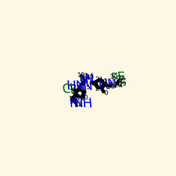 Cc1cc(-c2nc(Nc3ccc4[nH]ncc4c3Cl)n(C)n2)ccc1CNCC(F)(F)F